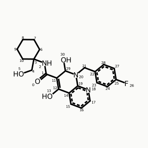 O=C(NC1(CO)CCCCC1)C1=C(O)c2cccnc2N(Cc2ccc(F)cc2)C1O